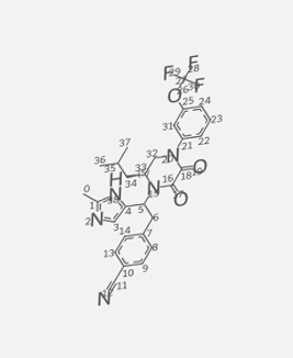 Cc1ncc(C(Cc2ccc(C#N)cc2)N2C(=O)C(=O)N(c3cccc(OC(F)(F)F)c3)C[C@@H]2CC(C)C)[nH]1